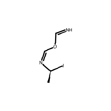 C[C@H](I)/N=C\OC=N